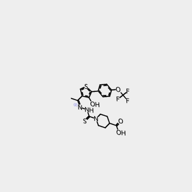 C/C(=N/NC(=S)N1CCC(C(=O)O)CC1)c1csc(-c2ccc(OC(F)(F)F)cc2)c1O